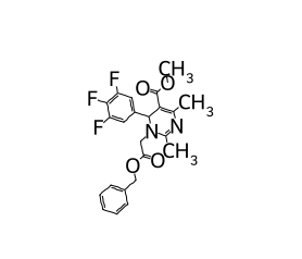 COC(=O)C1=C(C)N=C(C)N(CC(=O)OCc2ccccc2)C1c1cc(F)c(F)c(F)c1